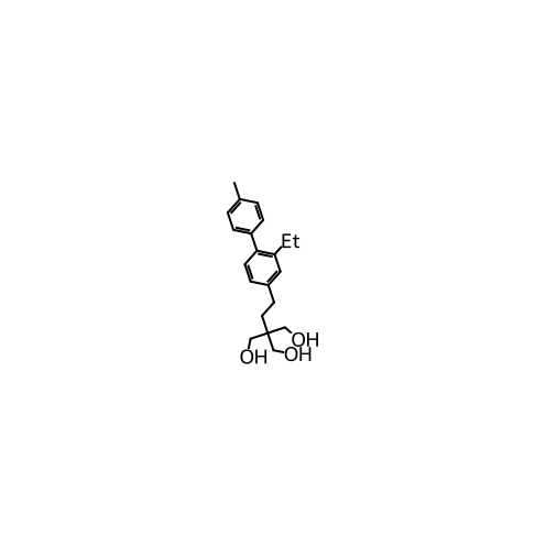 CCc1cc(CCC(CO)(CO)CO)ccc1-c1ccc(C)cc1